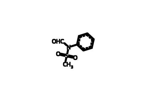 CS(=O)(=O)N(C=O)c1ccccc1